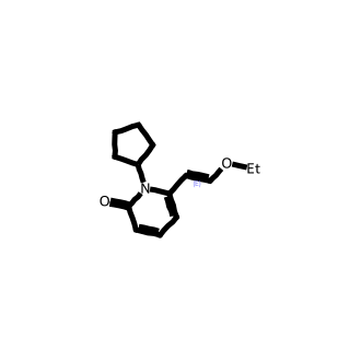 CCO/C=C/c1cccc(=O)n1C1CCCC1